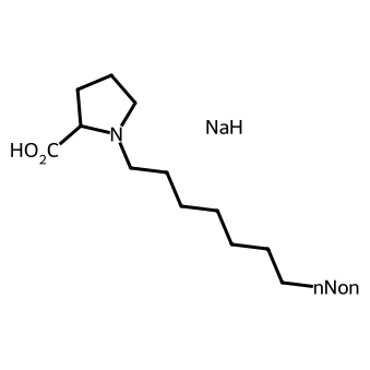 CCCCCCCCCCCCCCCCN1CCCC1C(=O)O.[NaH]